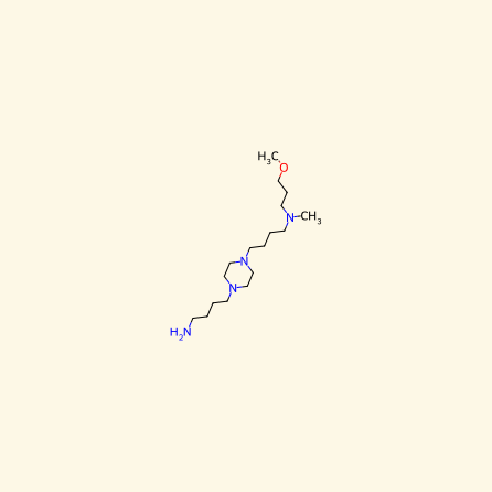 COCCCN(C)CCCCN1CCN(CCCCN)CC1